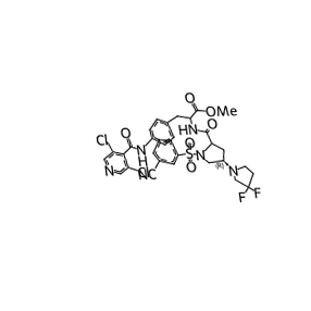 COC(=O)C(Cc1ccc(NC(=O)c2c(Cl)cncc2Cl)cc1)NC(=O)C1C[C@@H](N2CCC(F)(F)C2)CN1S(=O)(=O)c1cccc(C#N)c1